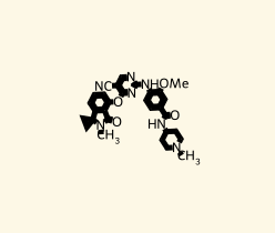 COc1cc(C(=O)NC2CCN(C)CC2)ccc1Nc1ncc(C#N)c(Oc2cccc3c2C(=O)N(C)C32CC2)n1